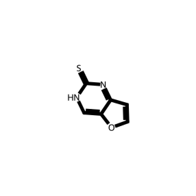 S=c1nc2ccoc2c[nH]1